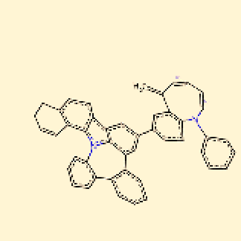 C=C1/C=C\C=C/N(c2ccccc2)c2ccc(-c3cc4c5c(c3)c3ccc6c(c3n5-c3ccccc3-c3ccccc3-4)C=CCC6)cc21